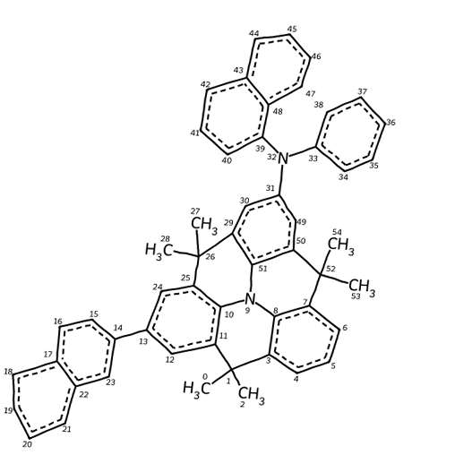 CC1(C)c2cccc3c2N2c4c1cc(-c1ccc5ccccc5c1)cc4C(C)(C)c1cc(N(c4ccccc4)c4cccc5ccccc45)cc(c12)C3(C)C